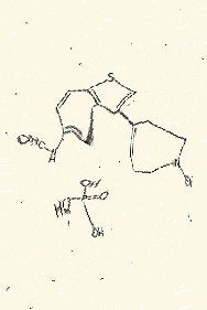 CCN1CC=C(c2csc3ccc(NC=O)cc23)CC1.O=P(O)(O)O